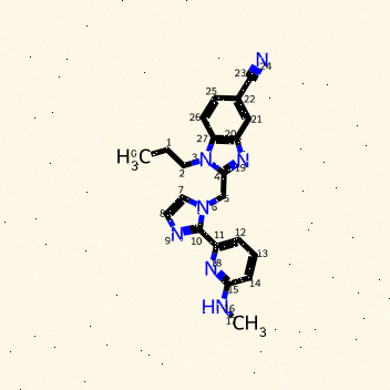 CCCn1c(Cn2ccnc2-c2cccc(NC)n2)nc2cc(C#N)ccc21